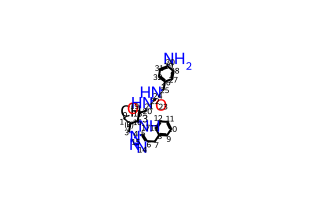 CC[C@H](Cn1cc(Cc2ccccc2)nn1)C(=N)C(=O)CNC(=O)NCc1ccc(N)cc1